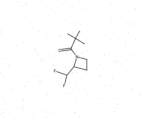 CC(C)(C)C(=O)N1CCC1C(F)F